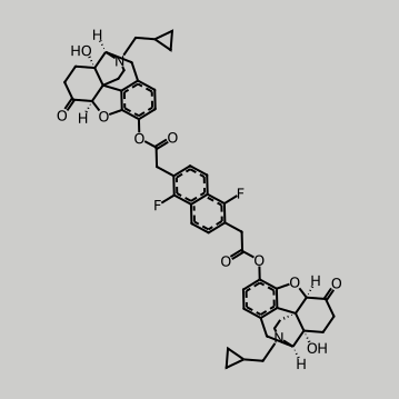 O=C(Cc1ccc2c(F)c(CC(=O)Oc3ccc4c5c3O[C@H]3C(=O)CC[C@@]6(O)[C@@H](C4)N(CC4CC4)CC[C@]536)ccc2c1F)Oc1ccc2c3c1O[C@H]1C(=O)CC[C@@]4(O)[C@@H](C2)N(CC2CC2)CCC314